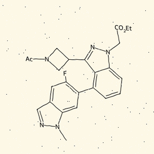 CCOC(=O)Cn1nc(C2CN(C(C)=O)C2)c2c(-c3cc4c(cnn4C)cc3F)cccc21